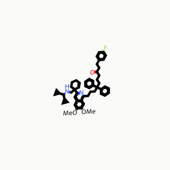 COc1cc2cc(C3(CNC(C4CC4)C4CC4)C=CCCC3)nc(CCCC(CCCC(=O)CCc3ccc(F)cc3)(c3ccccc3)c3ccccc3)c2cc1OC